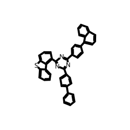 c1ccc(-c2ccc(-c3nc(-c4ccc(-c5cccc6ccccc56)cc4)nc(-c4cccc5sc6ccccc6c45)n3)cc2)cc1